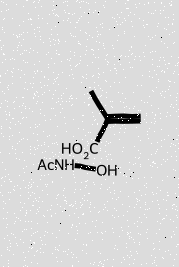 C=C(C)C(=O)O.CC(=O)NO